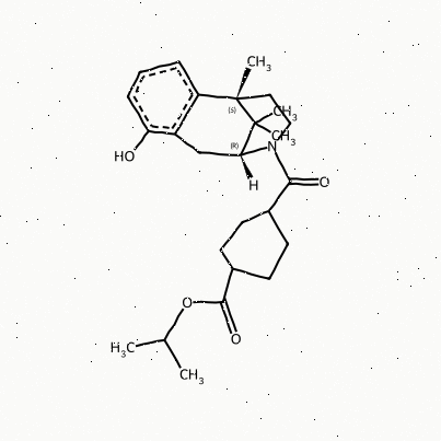 CC(C)OC(=O)C1CCC(C(=O)N2CC[C@@]3(C)c4cccc(O)c4C[C@@H]2C3(C)C)CC1